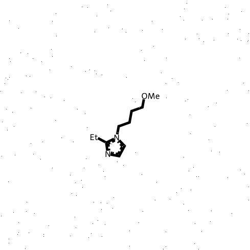 CCc1nccn1CCCCOC